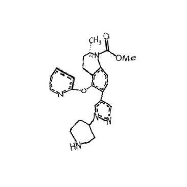 COC(=O)N1c2ccc(-c3cnn(C4CCNCC4)c3)c(Oc3ccccn3)c2CC[C@@H]1C